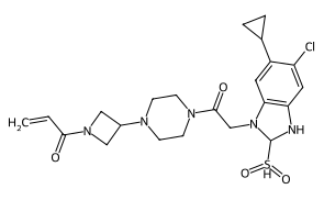 C=CC(=O)N1CC(N2CCN(C(=O)CN3c4cc(C5CC5)c(Cl)cc4NC3[SH](=O)=O)CC2)C1